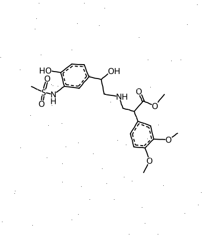 COC(=O)C(CNCC(O)c1ccc(O)c(NS(C)(=O)=O)c1)c1ccc(OC)c(OC)c1